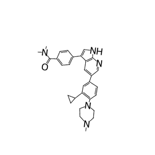 CN1CCN(c2ccc(-c3cnc4[nH]cc(-c5ccc(C(=O)N(C)C)cc5)c4c3)cc2C2CC2)CC1